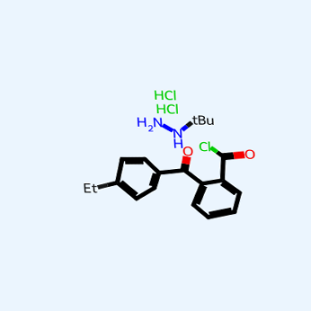 CC(C)(C)NN.CCc1ccc(C(=O)c2ccccc2C(=O)Cl)cc1.Cl.Cl